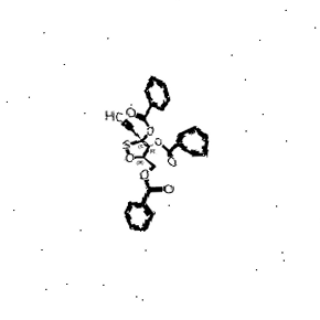 C#C[C@]1(OC(=O)c2ccccc2)SO[C@H](COC(=O)c2ccccc2)[C@H]1OC(=O)c1ccccc1